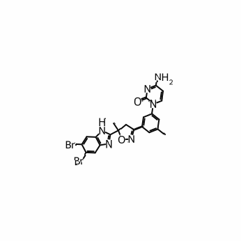 Cc1cc(C2=NOC(C)(c3nc4cc(Br)c(Br)cc4[nH]3)C2)cc(-n2ccc(N)nc2=O)c1